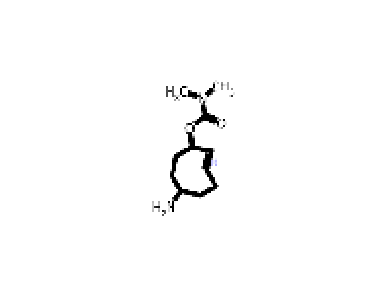 CN(C)C(=O)OC1/C=C/CCC(N)CC1